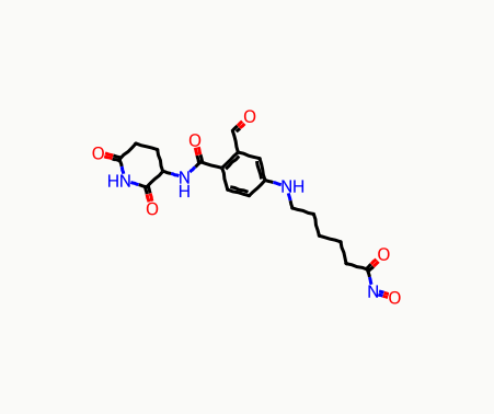 O=Cc1cc(NCCCCCC(=O)N=O)ccc1C(=O)NC1CCC(=O)NC1=O